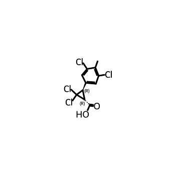 Cc1c(Cl)cc([C@H]2[C@H](C(=O)O)C2(Cl)Cl)cc1Cl